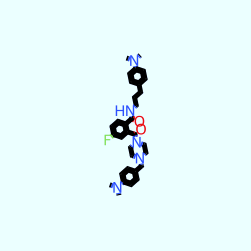 CN(C)c1ccc(CCCNC(=O)c2ccc(F)cc2C(=O)N2CCN(Cc3ccc(N(C)C)cc3)CC2)cc1